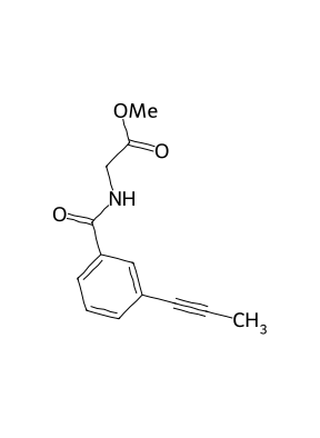 CC#Cc1cccc(C(=O)NCC(=O)OC)c1